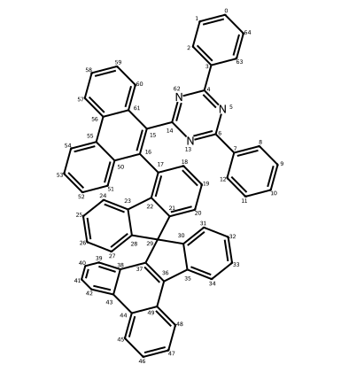 c1ccc(-c2nc(-c3ccccc3)nc(-c3c(-c4cccc5c4-c4ccccc4C54c5ccccc5-c5c4c4ccccc4c4ccccc54)c4ccccc4c4ccccc34)n2)cc1